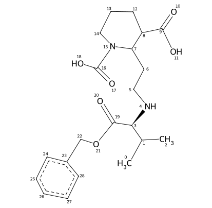 CC(C)[C@H](NCCC1C(C(=O)O)CCCN1C(=O)O)C(=O)OCc1ccccc1